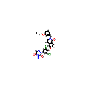 COc1cccc(CN2CCc3cc(Oc4c(Cl)cc(-n5ncc(=O)[nH]c5=O)cc4Cl)ccc3C2=O)c1